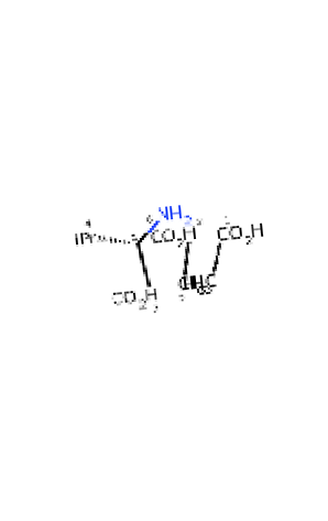 CC(=O)O.CC(=O)O.CC(C)[C@H](N)C(=O)O